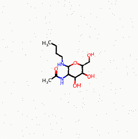 CCCCNC1OC(CO)C(O)C(O)C1NC(C)=O